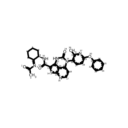 CC(=O)/N=C1\CCCC[C@H]1NC(=O)c1sc2nccc3c2c1NC(=O)N3c1ccc(Oc2ccccc2)nc1C